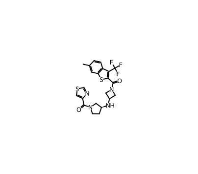 Cc1ccc2c(C(F)(F)F)c(C(=O)N3CC(N[C@H]4CCN(C(=O)c5cscn5)C4)C3)sc2c1